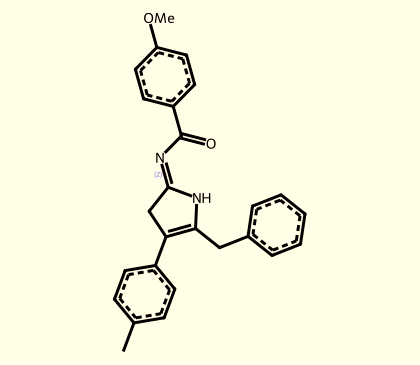 COc1ccc(C(=O)/N=C2/CC(c3ccc(C)cc3)=C(Cc3ccccc3)N2)cc1